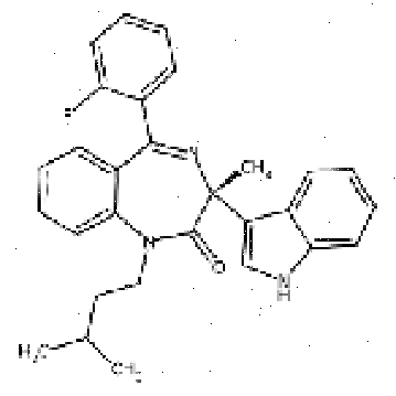 CC(C)CCN1C(=O)[C@@](C)(c2c[nH]c3ccccc23)N=C(c2ccccc2F)c2ccccc21